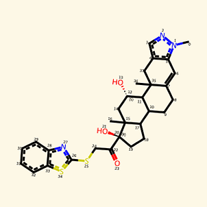 Cn1ncc2c1C=C1CCC3C([C@@H](O)CC4(C)C3CC[C@]4(O)C(=O)CSc3nc4ccccc4s3)C1(C)C2